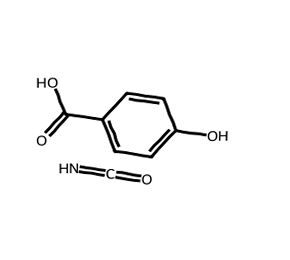 N=C=O.O=C(O)c1ccc(O)cc1